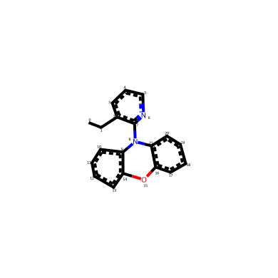 CCc1cccnc1N1c2ccccc2Oc2ccccc21